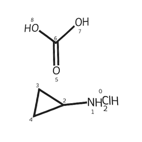 Cl.NC1CC1.O=C(O)O